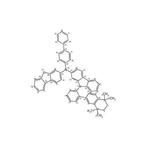 CC1(C)CCC(C)(C)c2cc(-c3ccccc3-n3c4ccccc4c4ccc(N(c5ccc(-c6ccccc6)cc5)c5ccc6c(c5)oc5ccccc56)cc43)ccc21